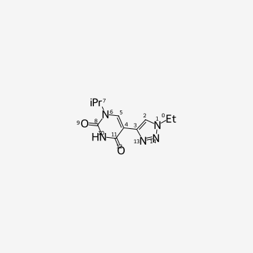 CCn1cc(-c2cn(C(C)C)c(=O)[nH]c2=O)nn1